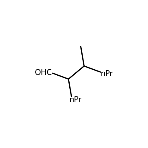 CCCC(C)C(C=O)CCC